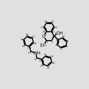 CCC1CC(O)(c2ccccc2)c2ccccc2O1.c1ccc(CNCc2ccccc2)cc1